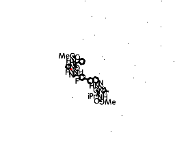 COC(=O)N[C@H](C(=O)N1[C@H](C)C(C)C[C@H]1c1nc2ccc3cc(-c4ccc(-c5cnc([C@@H]6[C@H]7CC[C@H](C7)N6C(=O)[C@H](NC(=O)OC)c6ccccc6)[nH]5)c(F)c4)ccc3c2[nH]1)C(C)C